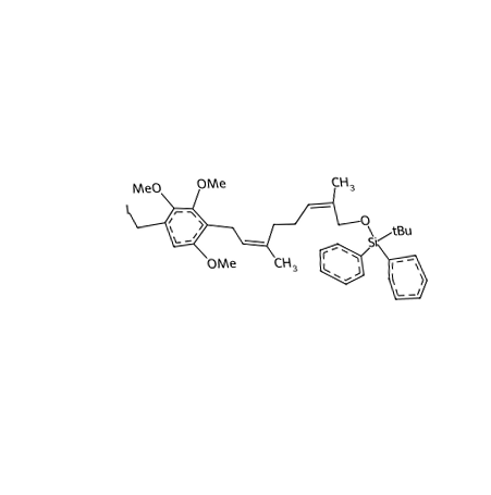 COc1cc(CI)c(OC)c(OC)c1CC=C(C)CCC=C(C)CO[Si](c1ccccc1)(c1ccccc1)C(C)(C)C